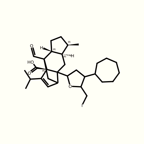 CC(C)C1=CC2CC3(C=O)[C@@H]4CC[C@@H](C)[C@H]4CC2(C2CC(C4CCCCCC4)C(CI)O2)[C@]13C(=O)O